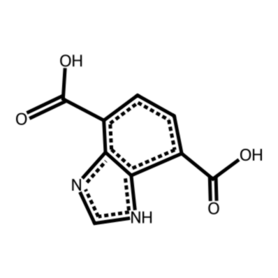 O=C(O)c1ccc(C(=O)O)c2[nH]cnc12